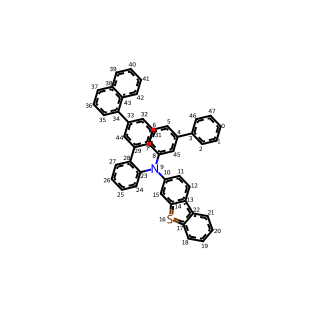 c1ccc(-c2cccc(N(c3ccc4c(c3)sc3ccccc34)c3ccccc3-c3cccc(-c4cccc5ccccc45)c3)c2)cc1